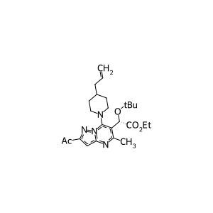 C=CCC1CCN(c2c([C@H](OC(C)(C)C)C(=O)OCC)c(C)nc3cc(C(C)=O)nn23)CC1